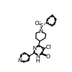 O=c1[nH]c(-c2ccncc2)nc(C2CCN([S+]([O-])c3ccccc3)CC2)c1Cl